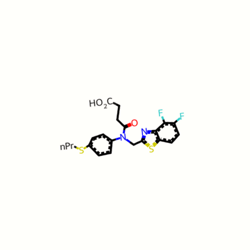 CCCSc1ccc(N(Cc2nc3c(F)c(F)ccc3s2)C(=O)CCC(=O)O)cc1